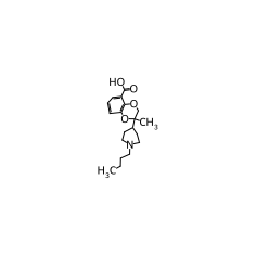 CCCCN1CCC(C2(C)COc3c(cccc3C(=O)O)O2)CC1